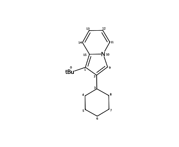 CC(C)(C)c1c(C2CCCCC2)cn2ccccc12